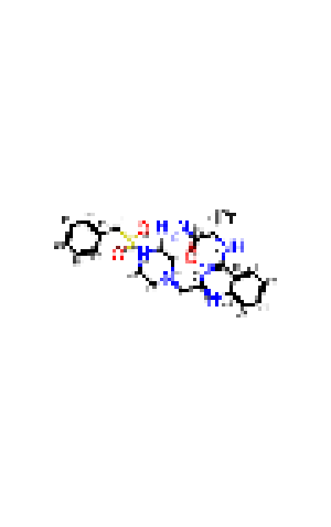 CC(C)[C@H](Nc1nc(CN2CCN(S(=O)(=O)Cc3ccccc3)CC2)nc2ccccc12)C(N)=O